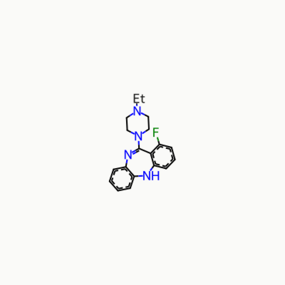 CCN1CCN(C2=Nc3ccccc3Nc3cccc(F)c32)CC1